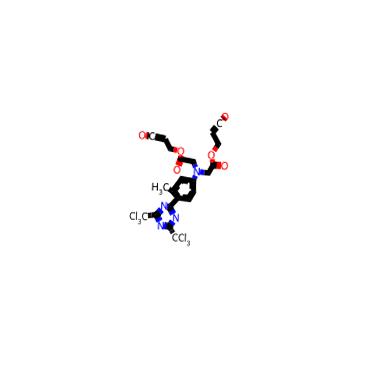 Cc1cc(N(CC(=O)OCC=C=O)CC(=O)OCC=C=O)ccc1-c1nc(C(Cl)(Cl)Cl)nc(C(Cl)(Cl)Cl)n1